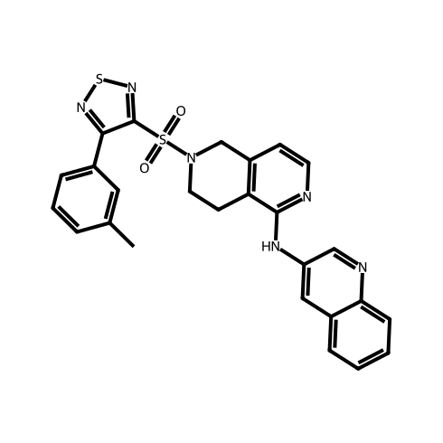 Cc1cccc(-c2nsnc2S(=O)(=O)N2CCc3c(ccnc3Nc3cnc4ccccc4c3)C2)c1